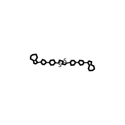 c1ccc2ccc(-c3ccc(-c4ccc(-c5cc6sc(-c7ccc(-c8ccc(-c9ccc%10cccccc9-%10)cc8)cc7)cc6s5)cc4)cc3)c-2cc1